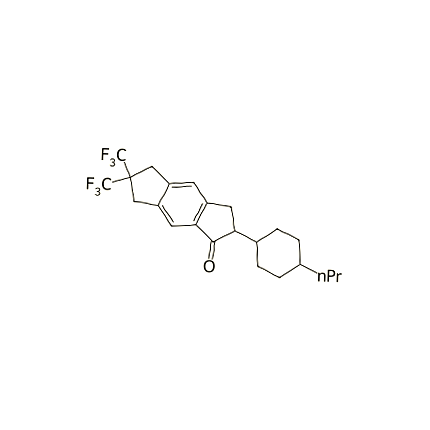 CCCC1CCC(C2Cc3cc4c(cc3C2=O)CC(C(F)(F)F)(C(F)(F)F)C4)CC1